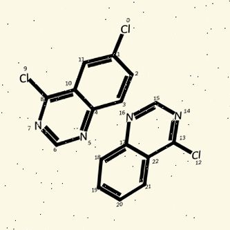 Clc1ccc2ncnc(Cl)c2c1.Clc1ncnc2ccccc12